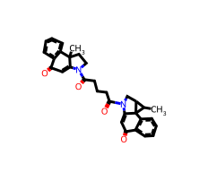 CC1C2CN(C(=O)CCCC(=O)N3CCC4(C)C3=CC(=O)c3ccccc34)C3=CC(=O)c4ccccc4C312